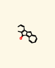 C/C=C\C1=C(C)C(=O)c2c1cc1cccccc2-1